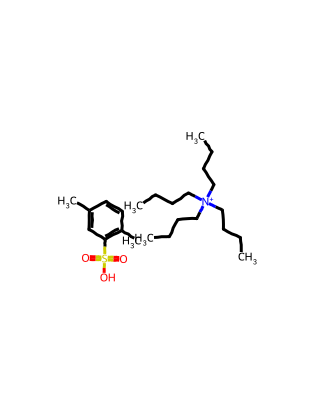 CCCC[N+](CCCC)(CCCC)CCCC.Cc1ccc(C)c(S(=O)(=O)O)c1